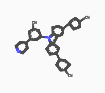 N#Cc1ccc(-c2ccc3c(c2)c2cc(-c4ccc(C#N)cc4)ccc2n3-c2cc(C#N)cc(-c3ccncc3)c2)cc1